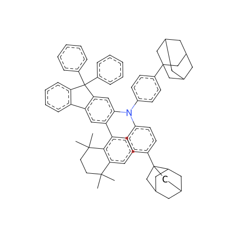 CC1(C)CCC(C)(C)c2c(-c3cc4c(cc3N(c3ccc(C56CC7CC(CC(C7)C5)C6)cc3)c3ccc(C56CC7CC(CC5C7)C6)cc3)C(c3ccccc3)(c3ccccc3)c3ccccc3-4)cccc21